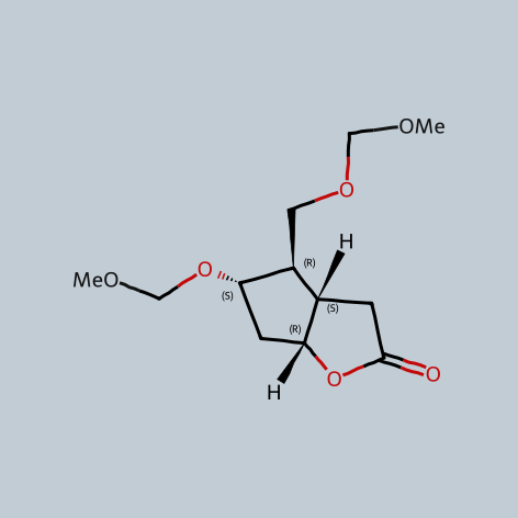 COCOC[C@H]1[C@@H]2CC(=O)O[C@@H]2C[C@@H]1OCOC